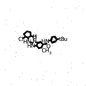 CC1CC2NC(NC3C(Cl)CCCC3Cl)NC2=CC1C(=O)Nc1ccc(C(C)(C)C)cc1